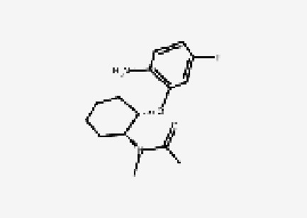 CC(=O)N(C)[C@H]1CCCC[C@@H]1Oc1cc(F)ccc1N